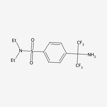 CCN(CC)S(=O)(=O)c1ccc(C(N)(C(F)(F)F)C(F)(F)F)cc1